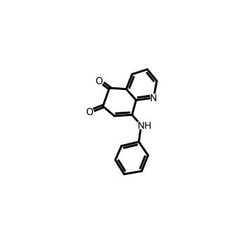 O=C1C=C(Nc2ccccc2)c2ncccc2C1=O